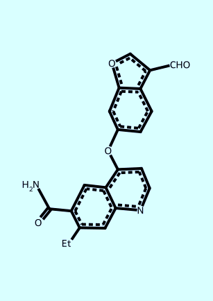 CCc1cc2nccc(Oc3ccc4c(C=O)coc4c3)c2cc1C(N)=O